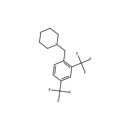 FC(F)(F)c1ccc(CN2CC[CH]CC2)c(C(F)(F)F)c1